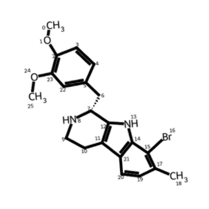 COc1ccc(C[C@H]2NCCc3c2[nH]c2c(Br)c(C)ccc32)cc1OC